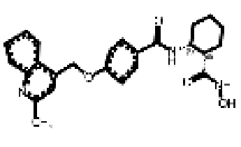 Cc1cc(COc2ccc(C(=O)N[C@@H]3CCCC[C@@H]3C(=O)NO)cc2)c2ccccc2n1